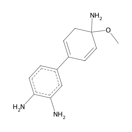 COC1(N)C=CC(c2ccc(N)c(N)c2)=CC1